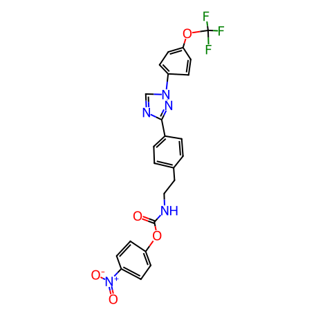 O=C(NCCc1ccc(-c2ncn(-c3ccc(OC(F)(F)F)cc3)n2)cc1)Oc1ccc([N+](=O)[O-])cc1